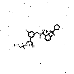 CC(C)(CO)N/C=C(\C=N)c1cc(F)cc(CNC(=O)c2nccc3nc(C4CCCC4)[nH]c23)c1